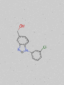 OCc1ccc2c(c1)ncn2-c1cccc(Cl)c1